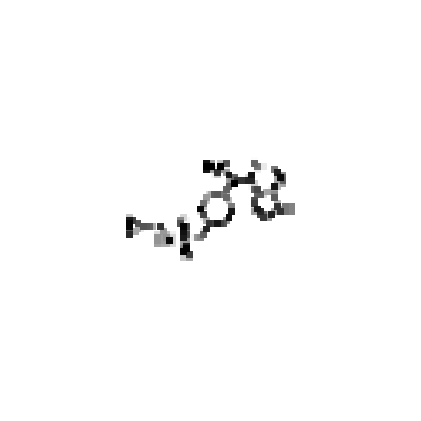 CN(c1ncnc2[nH]ccc12)C1CCC(CS(=O)(=O)NCC2CC2)CC1